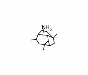 CC1CC2(C)C3CC4(C)CCC1C(N)C4C32